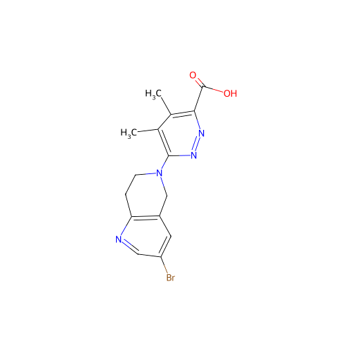 Cc1c(C(=O)O)nnc(N2CCc3ncc(Br)cc3C2)c1C